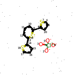 [O-][Cl+3]([O-])([O-])[O-].c1csc(-c2cccc(-c3cccs3)[s+]2)c1